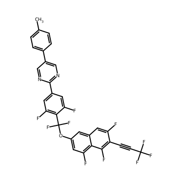 Cc1ccc(-c2cnc(-c3cc(F)c(C(F)(F)Oc4cc(F)c5c(F)c(C#CC(F)(F)F)c(F)cc5c4)c(F)c3)nc2)cc1